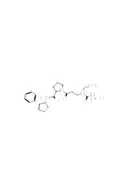 CNC(=O)N(CP)CCC(=O)N1CCCC1C(=O)N[C@@H]1CCC[C@H]1c1ccccc1